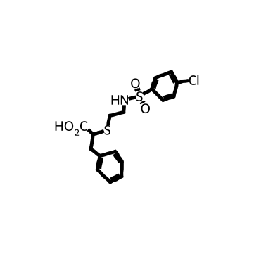 O=C(O)C(Cc1ccccc1)SCCNS(=O)(=O)c1ccc(Cl)cc1